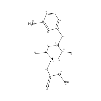 CC1CN(Cc2cccc(N)c2)C(C)CN1CC(=O)OC(C)(C)C